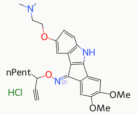 C#CC(CCCCC)O/N=C1/c2cc(OC)c(OC)cc2-c2[nH]c3ccc(OCCN(C)C)cc3c21.Cl